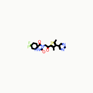 Cc1sc(C(=O)CN2C(=O)NC3(CCC(F)(F)CC3)C2=O)c(C)c1-c1cncnc1